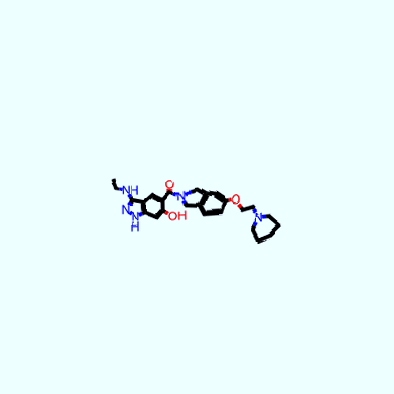 CCNc1n[nH]c2cc(O)c(C(=O)N3Cc4ccc(OCCN5CCCCC5)cc4C3)cc12